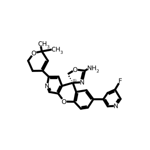 CC1(C)C=C(c2cc3c(cn2)Oc2ccc(-c4cncc(F)c4)cc2[C@@]32COC(N)=N2)CCO1